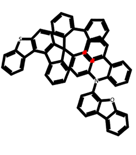 c1ccc(-c2ccccc2N(c2ccc3c(c2)-c2ccccc2-c2ccccc2C32c3ccccc3-c3c2ccc2sc4ccccc4c32)c2cccc3c2oc2ccccc23)cc1